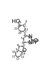 Cc1cc(-c2cc(-c3cc4ccccc4o3)[nH]c(=O)n2)ccc1O